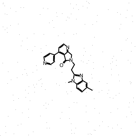 Cc1ccc2c(c1)nc(CCN1Cc3nccc(-c4ccncc4)c3C1=O)n2C